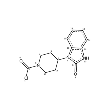 O=C(Cl)N1CCC(n2c(=O)[nH]c3ccccc32)CC1